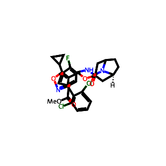 COC(=O)c1ccc(F)c(NC(=O)N2C3CC[C@H]2CC(OCc2c(-c4c(Cl)cccc4Cl)noc2C2CC2)C3)c1